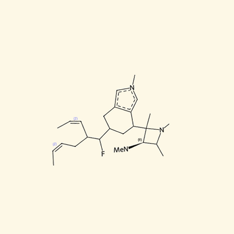 C/C=C\CC(/C=C\C)C(F)C1Cc2cn(C)cc2C(C2(C)[C@H](NC)C(C)N2C)C1